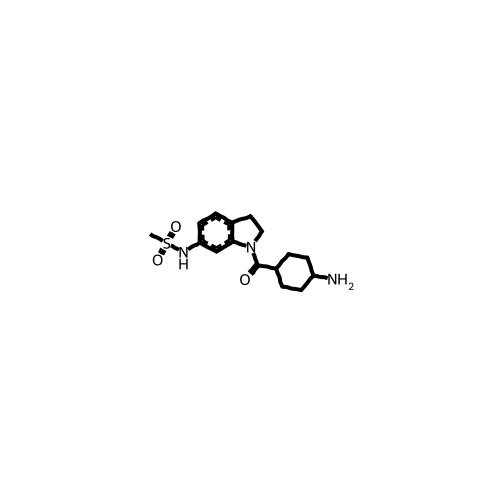 CS(=O)(=O)Nc1ccc2c(c1)N(C(=O)C1CCC(N)CC1)CC2